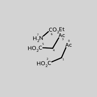 CC(=O)CC(=O)O.CC(=O)CC(=O)O.CCOC(N)=O